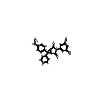 O=C1C2C(C(=O)N1c1cc(Cl)cc(Cl)c1)C2(c1ccncc1)c1ccc(OC(F)(F)F)cc1